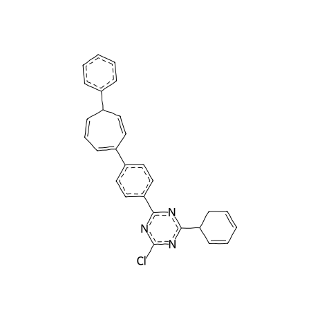 Clc1nc(-c2ccc(C3=CC=CC(c4ccccc4)C=C3)cc2)nc(C2C=CC=CC2)n1